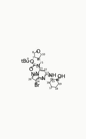 CC(C)(C)OC(=O)N(C[C@@H]1CCOC1)c1cc(N[C@H]2CCCC[C@H]2O)nc2c(Br)cnn12